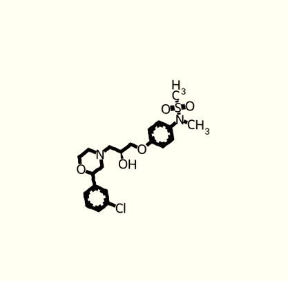 CN(c1ccc(OC[C@@H](O)CN2CCOC(c3cccc(Cl)c3)C2)cc1)S(C)(=O)=O